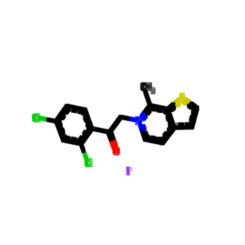 Cc1c2sccc2cc[n+]1CC(=O)c1ccc(Cl)cc1Cl.[I-]